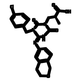 C[C@@H](Cn1c(=O)[nH]/c(=N\c2ccc3c(c2)CCOC3)n(Cc2ccc(Cl)cc2)c1=O)C(=O)O